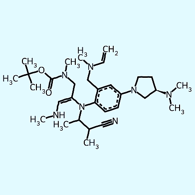 C=CN(C)Cc1cc(N2CC[C@@H](N(C)C)C2)ccc1N(/C(=C\NC)CN(C)C(=O)OC(C)(C)C)C(C)C(C)C#N